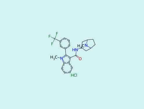 CN1C2CCC1CC(NC(=O)c1c(-c3cccc(C(F)(F)F)c3)n(C)c3ccccc13)C2.Cl